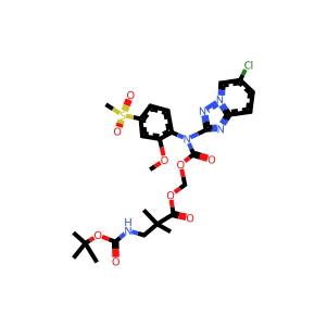 COc1cc(S(C)(=O)=O)ccc1N(C(=O)OCOC(=O)C(C)(C)CNC(=O)OC(C)(C)C)c1nc2ccc(Cl)cn2n1